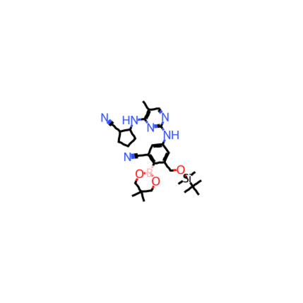 Cc1cnc(Nc2cc(C#N)c(B3OCC(C)(C)CO3)c(CO[Si](C)(C)C(C)(C)C)c2)nc1NC1CCCC1C#N